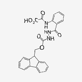 O=C(NNC(=O)c1ccccc1NC(=O)C(=O)O)OCC1c2ccccc2-c2ccccc21